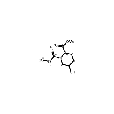 COC(=O)[C@H]1CCC(O)CN1C(=O)OC(C)(C)C